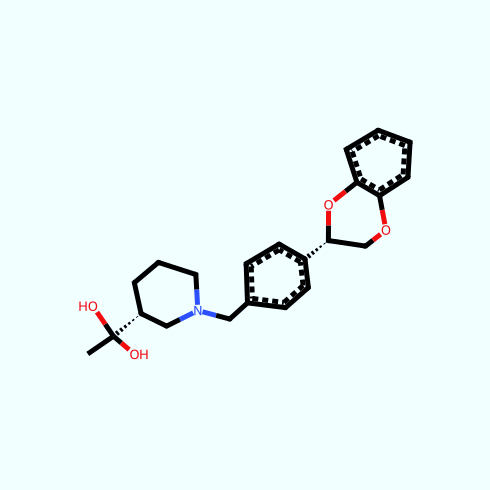 CC(O)(O)[C@@H]1CCCN(Cc2ccc([C@H]3COc4ccccc4O3)cc2)C1